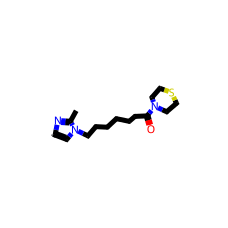 Cc1n[c]cn1CCCCCCC(=O)N1CCSCC1